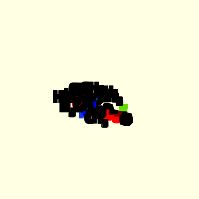 Cc1nc(C)c(C(OC(C)(C)C)C(=O)OC(C)C)c(N2CCC(C)(C)CC2)c1-c1ccc2c(c1)CCC(COc1ccccc1F)O2